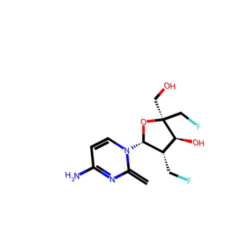 C=C1N=C(N)C=CN1[C@@H]1O[C@@](CO)(CF)[C@@H](O)[C@@H]1CF